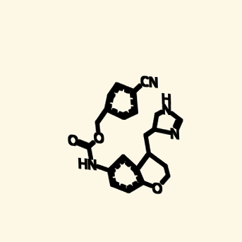 N#Cc1ccc(COC(=O)Nc2ccc3c(c2)C(CC2CNC=N2)CCO3)cc1